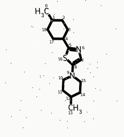 CC1CCC(c2ncc(N3CCC(C)CC3)s2)CC1